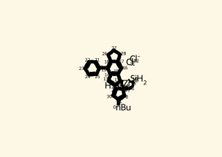 CCCCC1=C[CH]([Zr-6]([CH3])([CH3])([CH3])([CH3])(=[SiH2])(=[SiH2])[CH]2C=Cc3c2cc2c(c3-c3ccccc3)CCC2)C=C1.[Cl-].[Cl-]